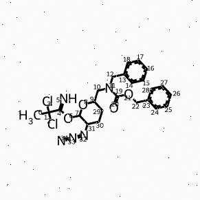 CC(Cl)(Cl)C(=N)OC1OC(CN(Cc2ccccc2)C(=O)OCc2ccccc2)CCC1N=[N+]=[N-]